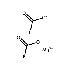 O=C([O-])F.O=C([O-])F.[Mg+2]